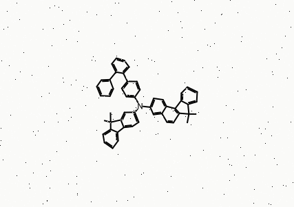 CC1(C)c2ccccc2-c2ccc(N(c3ccc(-c4ccccc4-c4ccccc4)cc3)c3ccc4c5c(ccc4c3)C(C)(C)c3ccccc3-5)cc21